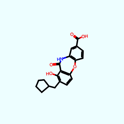 O=C(O)c1ccc2c(c1)NC(=O)c1c(ccc(CC3CCCC3)c1O)O2